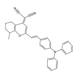 CC1CCCC2=C1OC(/C=C/c1ccc(N(c3ccccc3)c3ccccc3)cc1)=CC2=C(C#N)C#N